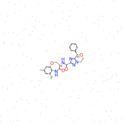 Cc1cc(F)c2c(c1)OC[C@H](NC(=O)c1nc3n(n1)CCO[C@@H]3c1ccccc1)C(=O)N2